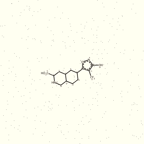 O=C(O)C1CC2CC(c3onc(O)c3C(F)(F)F)CCC2CN1